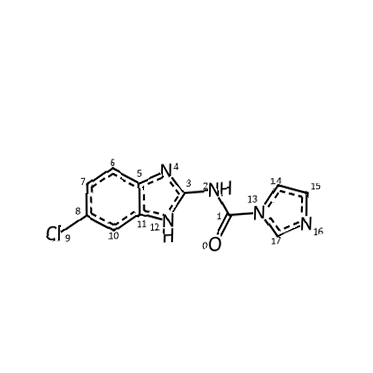 O=C(Nc1nc2ccc(Cl)cc2[nH]1)n1ccnc1